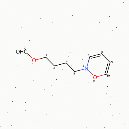 O=COCCCCN1C=CC=CO1